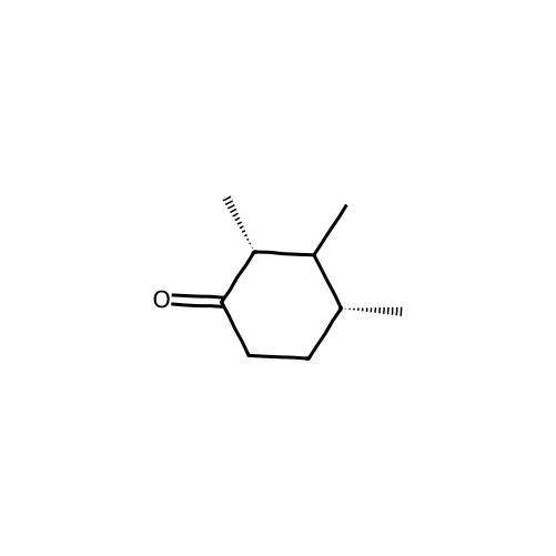 CC1[C@H](C)CCC(=O)[C@@H]1C